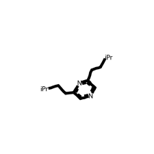 CC(C)CCc1cncc(CCC(C)C)n1